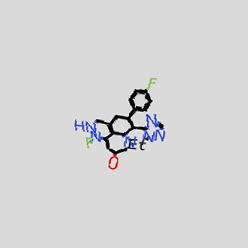 CCn1ncnc1C1C2=NCC(=O)C=C3C2=C(CNN3F)CC1c1ccc(F)cc1